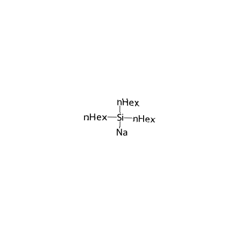 CCCCCC[Si]([Na])(CCCCCC)CCCCCC